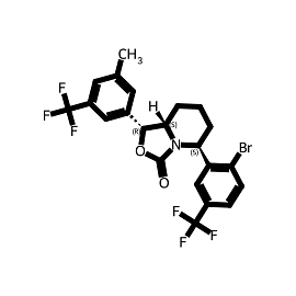 Cc1cc([C@H]2OC(=O)N3[C@H](c4cc(C(F)(F)F)ccc4Br)CCC[C@@H]23)cc(C(F)(F)F)c1